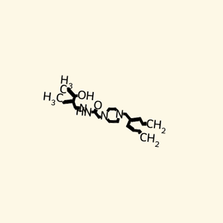 C=C/C=C\C(=C/C=C)CN1CCN(CC(=O)N/N=C/C(=C/C)C(/O)=C\C)CC1